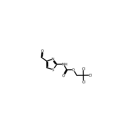 O=Cc1csc(NC(=O)OCC(Cl)(Cl)Cl)n1